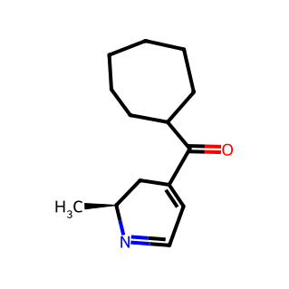 C[C@H]1CC(C(=O)C2CCCCCC2)=CC=N1